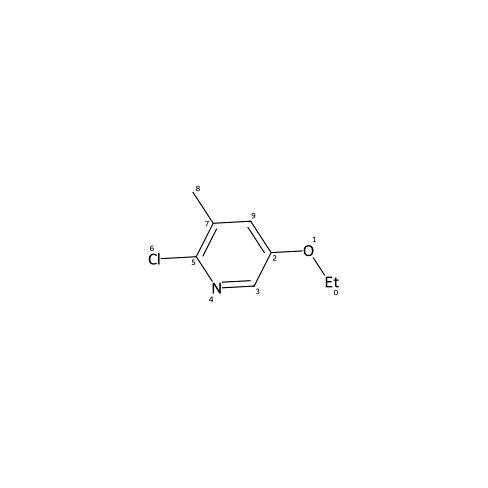 CCOc1cnc(Cl)c(C)c1